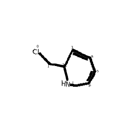 ClC[C]1C=CC=CN1